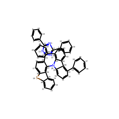 c1ccc(-c2nc(-c3ccccc3)nc(-c3ccc4sc5ccccc5c4c3-n3c4cccc(-c5ccccc5)c4c4cccc(-c5ccccc5)c43)n2)cc1